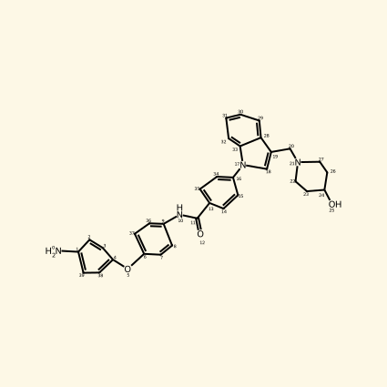 Nc1ccc(Oc2ccc(NC(=O)c3ccc(-n4cc(CN5CCC(O)CC5)c5ccccc54)cc3)cc2)cc1